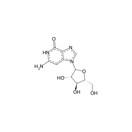 Nc1cc2c(ncn2C2O[C@H](CO)[C@@H](O)[C@@H]2O)c(=O)[nH]1